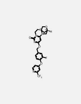 O=c1nc(OCc2ccc(Oc3ccnc(C(F)(F)F)c3)c(F)c2)cc2n1CC[C@]13CO[C@H](CN21)C3